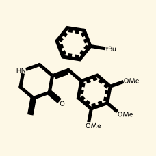 C=C1CNCC(=Cc2cc(OC)c(OC)c(OC)c2)C1=O.CC(C)(C)c1ccccc1